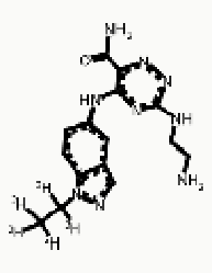 [2H]C([2H])([2H])C([2H])([2H])n1ncc2cc(Nc3nc(NCCN)nnc3C(N)=O)ccc21